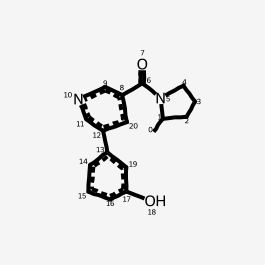 CC1CCCN1C(=O)c1cncc(-c2cccc(O)c2)c1